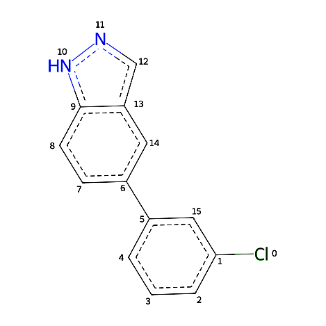 Clc1cccc(-c2ccc3[nH]ncc3c2)c1